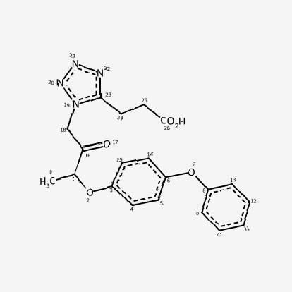 CC(Oc1ccc(Oc2ccccc2)cc1)C(=O)Cn1nnnc1CCC(=O)O